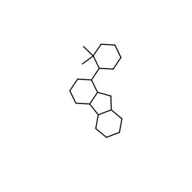 CC1(C)CCCCC1C1CCCC2C3CCCCC3CC21